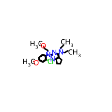 CCCN(CCC)c1nc(N(CCOC)c2ccc(OC)cc2Cl)nc2c1CCC2